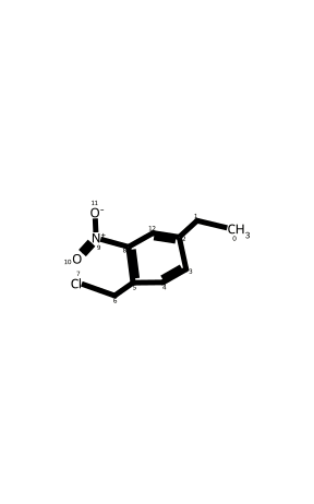 CCc1ccc(CCl)c([N+](=O)[O-])c1